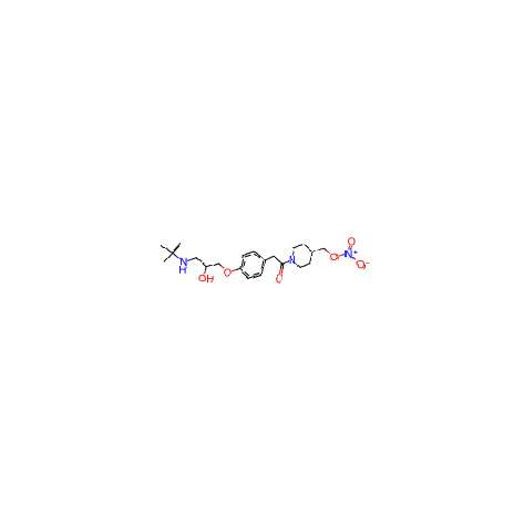 CC(C)(C)NCC(O)COc1ccc(CC(=O)N2CCC(CO[N+](=O)[O-])CC2)cc1